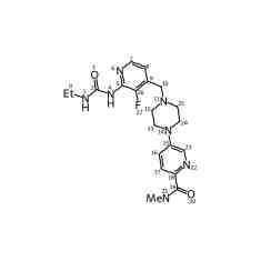 CCNC(=O)Nc1nccc(CN2CCN(c3ccc(C(=O)NC)nc3)CC2)c1F